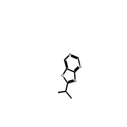 CC(C)c1nc2ncncc2o1